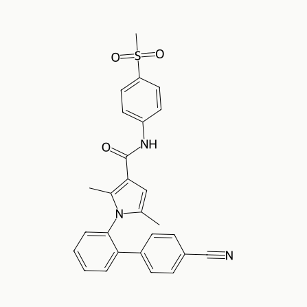 Cc1cc(C(=O)Nc2ccc(S(C)(=O)=O)cc2)c(C)n1-c1ccccc1-c1ccc(C#N)cc1